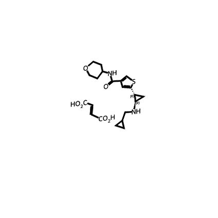 O=C(NC1CCOCC1)c1csc([C@@H]2C[C@H]2NCC2CC2)c1.O=C(O)C=CC(=O)O